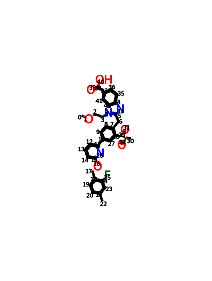 COCCn1c(Cc2ccc(-c3cccc(OCc4ccc(C)cc4F)n3)cc2S(C)(=O)=O)nc2ccc(C(=O)O)cc21